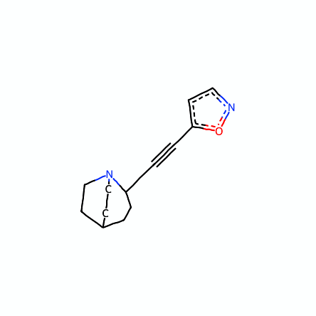 C(#CC1CCC2CCN1CC2)c1ccno1